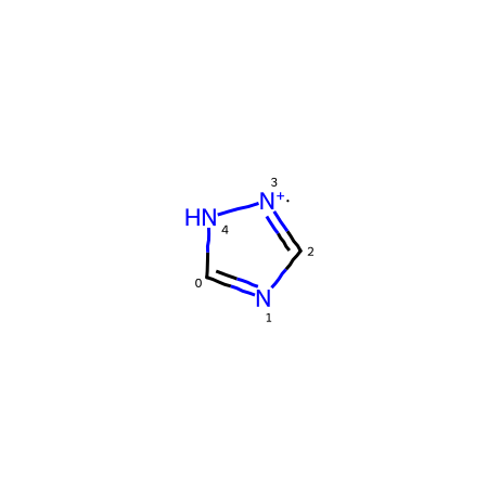 C1=NC=[N+]N1